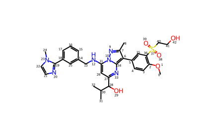 COc1ccc(-c2c(C)nn3c(NCc4cccc(-c5nccn5C)c4)cc(C(O)C(C)C)nc23)cc1S(=O)(=O)CCO